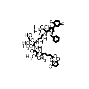 CC(C)[C@H](NC(=O)CCCC(=O)ON1C(=O)CCC1=O)C(=O)N[C@@H](C)C(=O)NCCCN[C@@H](c1cc(-c2cc(F)ccc2F)cn1Cc1ccccc1)C(C)(C)C.OCCO